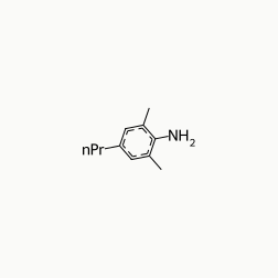 [CH2]CCc1cc(C)c(N)c(C)c1